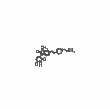 Cn1c(=O)n(C2CCC(=O)NC2=O)c2ccc(CCC3CCN(CCN)CC3)cc21